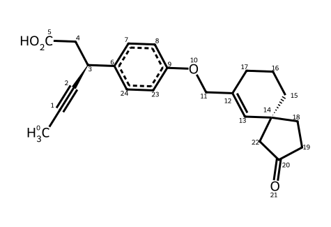 CC#C[C@@H](CC(=O)O)c1ccc(OCC2=C[C@@]3(CCC2)CCC(=O)C3)cc1